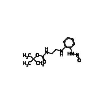 CC(C)(C)OC(=O)NCCNc1ccccc1NN=O